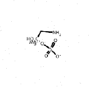 NCC(=O)O.O=S(=O)([O-])[O-].[Mg+2]